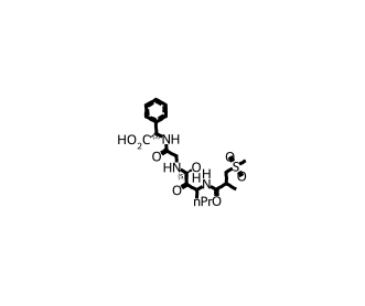 CCCC(NC(=O)C(C)CS(C)(=O)=O)C(=O)[C@H](O)NCC(=O)N[C@H](C(=O)O)c1ccccc1